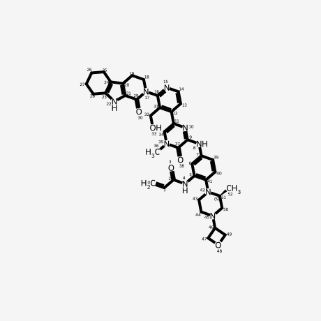 C=CC(=O)Nc1cc(Nc2nc(-c3ccnc(N4CCc5c([nH]c6c5CCCC6)C4=O)c3CO)cn(C)c2=O)ccc1N1CCN(C2COC2)C[C@@H]1C